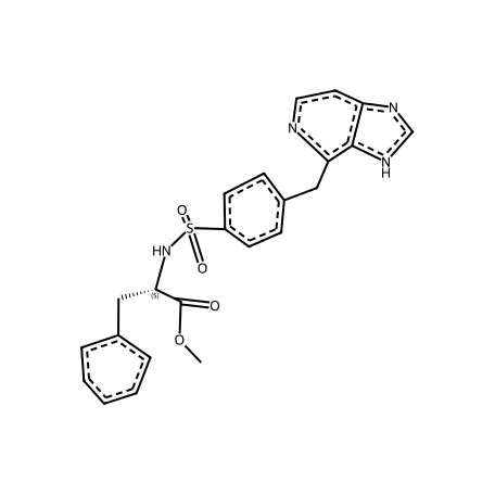 COC(=O)[C@H](Cc1ccccc1)NS(=O)(=O)c1ccc(Cc2nccc3nc[nH]c23)cc1